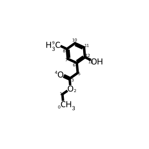 CCOC(=O)Cc1cc(C)ccc1O